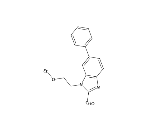 CCOCCn1c(C=O)nc2ccc(-c3ccccc3)cc21